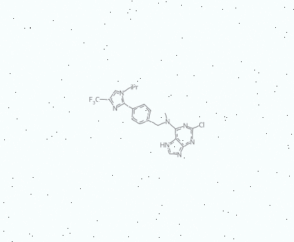 CC(C)n1cc(C(F)(F)F)nc1-c1ccc(CN(C)c2nc(Cl)nc3nc[nH]c23)cc1